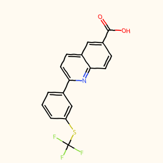 O=C(O)c1ccc2nc(-c3cccc(SC(F)(F)F)c3)ccc2c1